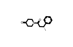 C[C@H](CC(=O)N1CCC(=O)CC1)c1ccccc1